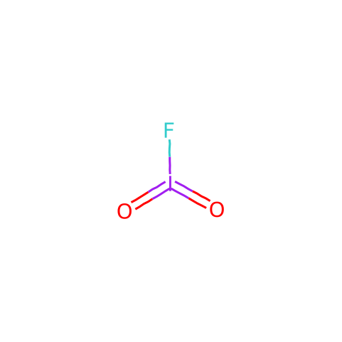 O=I(=O)F